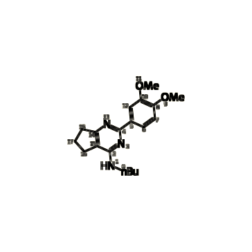 CCCCNc1nc(-c2ccc(OC)c(OC)c2)nc2c1CCC2